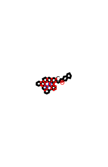 c1ccc(-c2ccccc2-c2cccc(N(c3ccccc3-c3ccccc3)c3ccccc3-c3ccccc3N(c3ccc(-c4ccc5c(c4)oc4cc6ccccc6cc45)cc3)c3ccccc3-c3ccccc3)c2)cc1